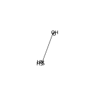 O=C(O)CCCCCCCCCCCCCCCCCCCCCCCCCCCCCCCCNC(=S)S